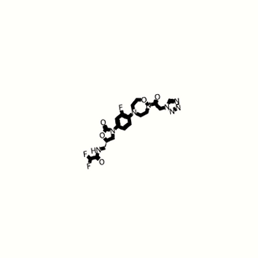 O=C(NC[C@H]1CN(c2ccc(N3CCON(C(=O)Cn4cnnn4)CC3)c(F)c2)C(=O)O1)C(F)F